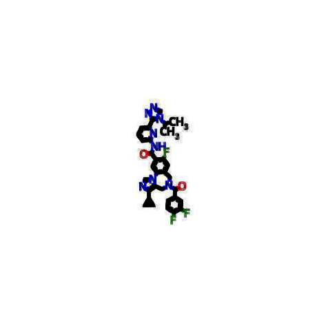 CC(C)n1cnnc1-c1cccc(NC(=O)c2cc3c(cc2F)CN(C(=O)c2ccc(F)c(F)c2)Cc2c(C4CC4)ncn2-3)n1